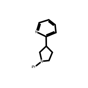 CC(C)N1CCC(c2ccccn2)C1